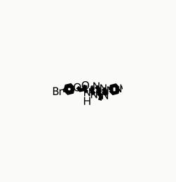 Cc1nc(N2CCN(C)CC2)nc2ncc(NC(=O)COc3ccc(Br)cc3)nc12